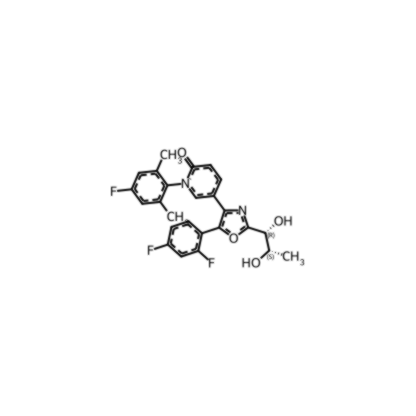 Cc1cc(F)cc(C)c1-n1cc(-c2nc([C@H](O)[C@H](C)O)oc2-c2ccc(F)cc2F)ccc1=O